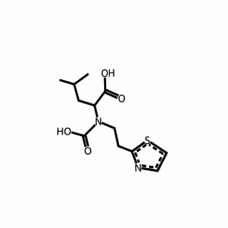 CC(C)CC(C(=O)O)N(CCc1nccs1)C(=O)O